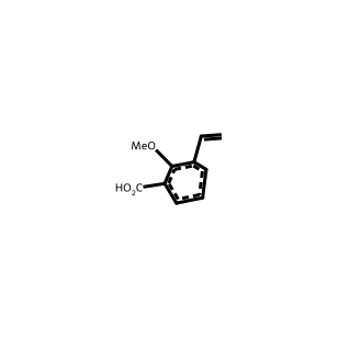 C=Cc1cccc(C(=O)O)c1OC